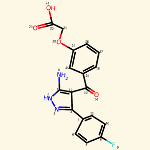 Nc1[nH]nc(-c2ccc(F)cc2)c1C(=O)c1cccc(OCC(=O)O)c1